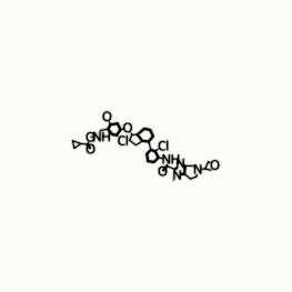 COc1cc(OC2CCc3c(-c4cccc(NC(=O)c5nc6c(n5C)CCN(C5COC5)C6)c4Cl)cccc32)c(Cl)cc1CNOC(=O)C1CC1